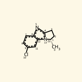 C[C@H]1CCc2nc3ccc(Cl)cc3n21